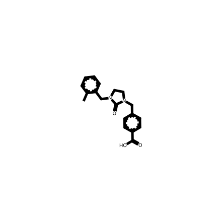 Cc1ccccc1CN1CCN(Cc2ccc(C(=O)O)cc2)C1=O